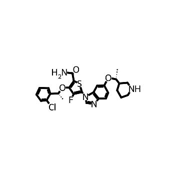 C[C@@H](Oc1c(C(N)=O)sc(-n2cnc3ccc(O[C@H](C)C4CCCNC4)cc32)c1F)c1ccccc1Cl